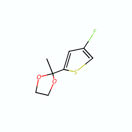 CC1(c2cc(F)cs2)OCCO1